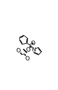 C=C.O=CC=O.O=S(=O)(c1ccccc1)n1cccc1